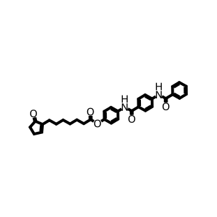 O=C(CCCCCCC1=CCCC1=O)Oc1ccc(NC(=O)c2ccc(NC(=O)c3ccccc3)cc2)cc1